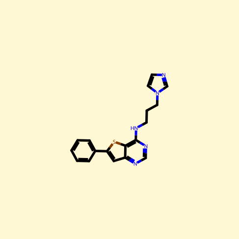 c1ccc(-c2cc3ncnc(NCCCn4ccnc4)c3s2)cc1